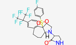 O=C1NCCC1N1CC[C@@]2(S(=O)(=O)c3ccc(F)cc3)c3ccc(C(F)(C(F)(F)F)C(F)(F)F)cc3CCC[C@@H]12